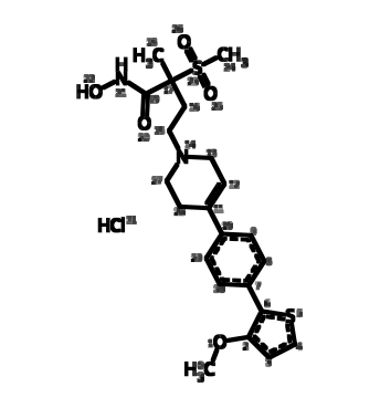 COc1ccsc1-c1ccc(C2=CCN(CCC(C)(C(=O)NO)S(C)(=O)=O)CC2)cc1.Cl